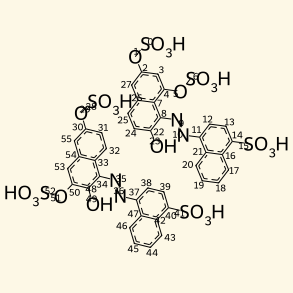 O=S(=O)(O)Oc1cc(OS(=O)(=O)O)c2c(N=Nc3ccc(S(=O)(=O)O)c4ccccc34)c(O)ccc2c1.O=S(=O)(O)Oc1ccc2c(N=Nc3ccc(S(=O)(=O)O)c4ccccc34)c(O)c(OS(=O)(=O)O)cc2c1